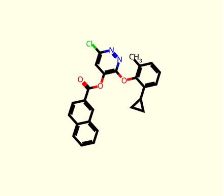 Cc1cccc(C2CC2)c1Oc1nnc(Cl)cc1OC(=O)c1ccc2ccccc2c1